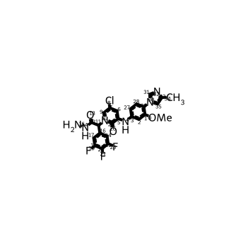 COc1cc(Nc2cc(Cl)cn(C(C(=O)NN)c3cc(F)c(F)c(F)c3)c2=O)ccc1-n1cnc(C)c1